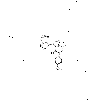 COCc1cc(-c2cnn3c2C(=O)N(c2ccc(C(F)(F)F)cc2)CC3C)ccn1